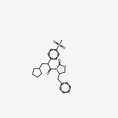 CS(=O)(=O)c1ccc(C(CC2CCCC2)C(=O)N2C(=O)OCC2Cc2ccccc2)cc1